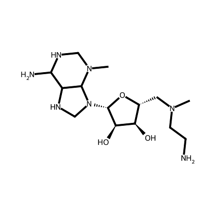 CN(CCN)C[C@H]1O[C@@H](N2CNC3C(N)NCN(C)C32)[C@H](O)[C@@H]1O